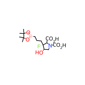 CC1(C)OB(CCC[C@]2(F)[C@H](O)CN(C(=O)O)[C@@H]2C(=O)O)OC1(C)C